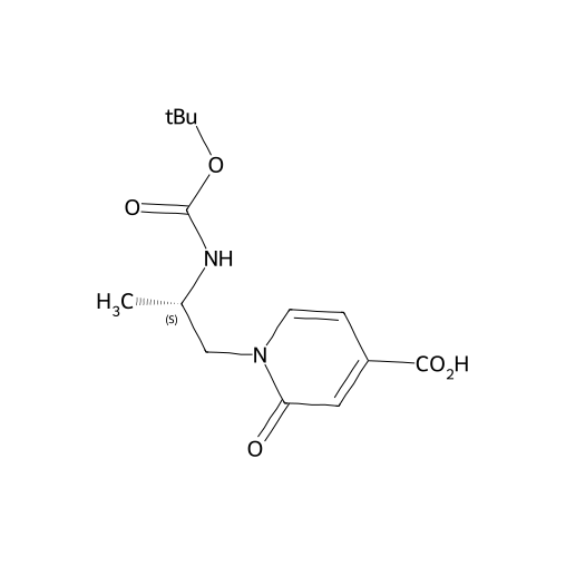 C[C@@H](Cn1ccc(C(=O)O)cc1=O)NC(=O)OC(C)(C)C